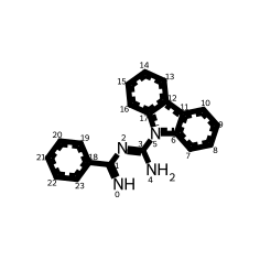 N=C(/N=C(\N)n1c2ccccc2c2ccccc21)c1ccccc1